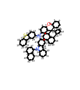 c1ccc2c(c1)Oc1ccc(N(c3ccc4sc5ccccc5c4c3)c3ccc4c5ccccc5n(-c5cccc6ccccc56)c4c3)cc1C21c2ccccc2-c2cccc3cccc1c23